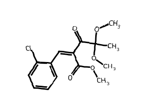 COC(=O)C(=Cc1ccccc1Cl)C(=O)C(C)(OC)OC